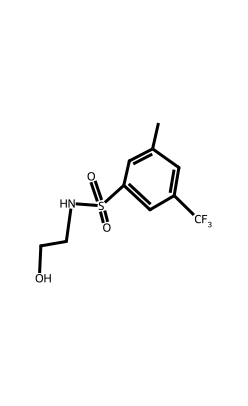 Cc1cc(C(F)(F)F)cc(S(=O)(=O)NCCO)c1